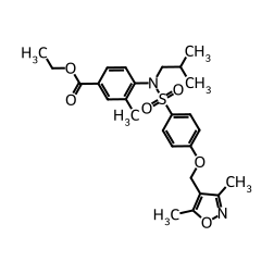 CCOC(=O)c1ccc(N(CC(C)C)S(=O)(=O)c2ccc(OCc3c(C)noc3C)cc2)c(C)c1